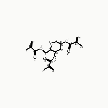 C=C(C)C(=O)OCC1OC[C@@H](OC(=O)C(=C)C)CC1OC(=O)C(=C)C